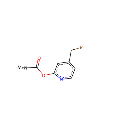 CNC(=O)Oc1cc(CBr)ccn1